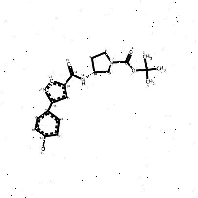 CC(C)(C)OC(=O)N1CC[C@@H](NC(=O)c2cc(-c3ccc(Cl)cc3)no2)C1